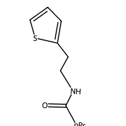 CCCC(=O)NCCc1cccs1